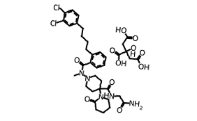 CN(C(=O)c1ccccc1CCCCc1ccc(Cl)c(Cl)c1)N1CCC(C(=O)NCC(N)=O)(N2CCCCC2=O)CC1.O=C(O)CC(O)(CC(=O)O)C(=O)O